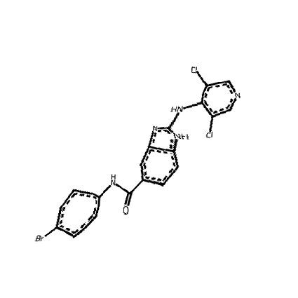 O=C(Nc1ccc(Br)cc1)c1ccc2[nH]c(Nc3c(Cl)cncc3Cl)nc2c1